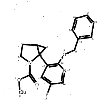 CC(C)(C)OC(=O)N1CCC2CC21c1cc(F)cnc1OCc1ccccc1